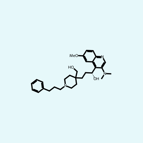 COc1ccc2ncc(N(C)C)c([C@H](O)CCC3(CO)CCN(CCCc4ccccc4)CC3)c2c1